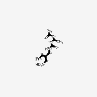 CCCC(=O)OC(C)OC(=O)NCC(CC(=O)O)CC(C)C